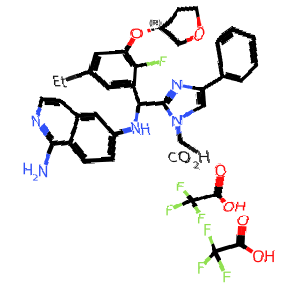 CCc1cc(O[C@@H]2CCOC2)c(F)c(C(Nc2ccc3c(N)nccc3c2)c2nc(-c3ccccc3)cn2CC(=O)O)c1.O=C(O)C(F)(F)F.O=C(O)C(F)(F)F